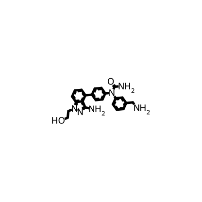 NCc1cccc(N(C(N)=O)c2ccc(-c3cccc4c3c(N)nn4CCO)cc2)c1